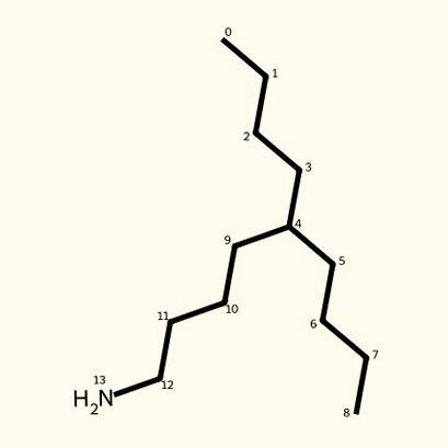 CCCCC(CCCC)CCCCN